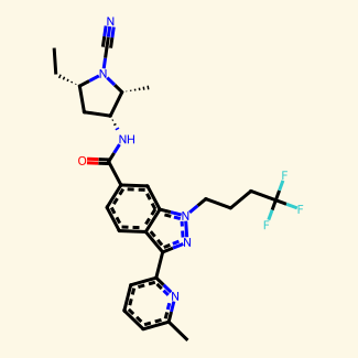 CC[C@H]1C[C@@H](NC(=O)c2ccc3c(-c4cccc(C)n4)nn(CCCC(F)(F)F)c3c2)[C@@H](C)N1C#N